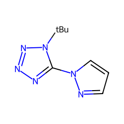 CC(C)(C)n1nnnc1-n1cccn1